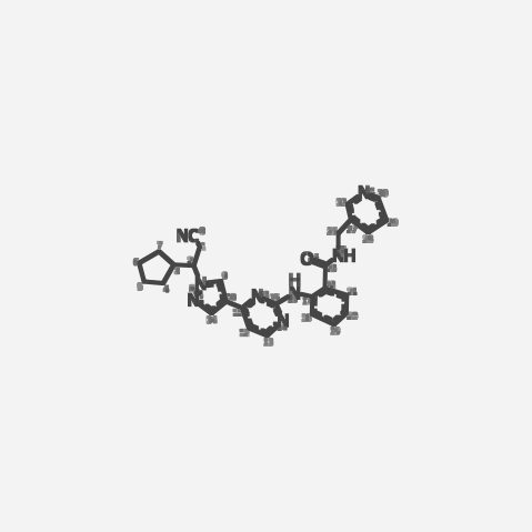 N#CCC(C1CCCC1)n1cc(-c2ccnc(Nc3ccccc3C(=O)NCc3cccnc3)n2)cn1